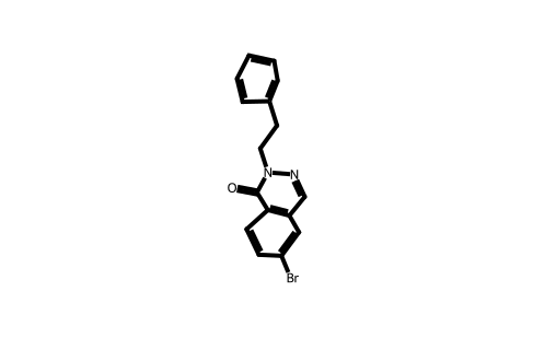 O=c1c2ccc(Br)cc2cnn1CCc1ccccc1